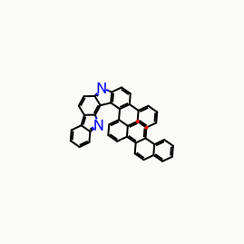 c1ccc(-c2ccc3c(c2-c2cccc4c2ccc2c5ccccc5ccc42)-c2c4c(ccc2=N3)=c2ccccc2=N4)cc1